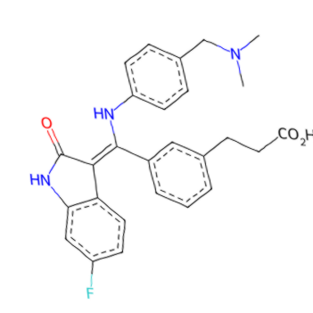 CN(C)Cc1ccc(N/C(=C2\C(=O)Nc3cc(F)ccc32)c2cccc(CCC(=O)O)c2)cc1